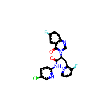 O=C(Nc1ccc(Cl)cn1)C(Cc1ncccc1F)n1cnc2ccc(F)cc2c1=O